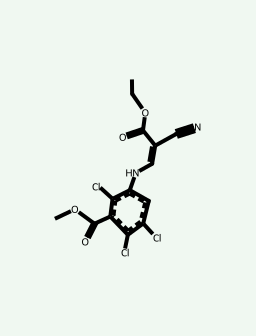 CCOC(=O)C(C#N)=CNc1cc(Cl)c(Cl)c(C(=O)OC)c1Cl